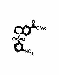 COC(=O)c1ccc2c(c1)CCCN2S(=O)(=O)c1cccc([N+](=O)[O-])c1